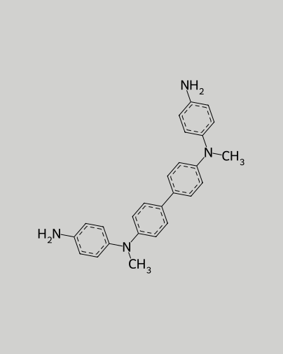 CN(c1ccc(N)cc1)c1ccc(-c2ccc(N(C)c3ccc(N)cc3)cc2)cc1